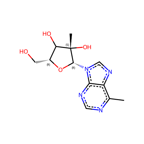 Cc1ncnc2c1ncn2[C@@H]1O[C@H](CO)C(O)[C@]1(C)O